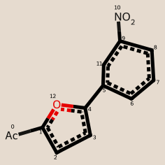 CC(=O)c1ccc(-c2cccc([N+](=O)[O-])c2)o1